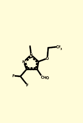 Cn1nc(C(F)F)c(C=O)c1OCC(F)(F)F